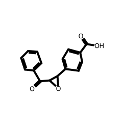 O=C(O)c1ccc(C2OC2C(=O)c2ccccc2)cc1